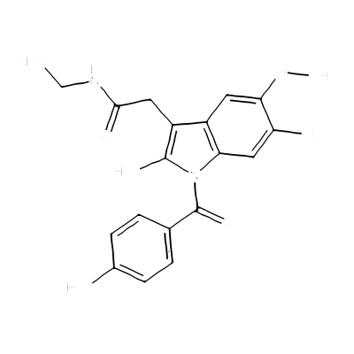 CCNC(=O)Cc1c(C)n(C(=S)c2ccc(C)cc2)c2cc(Cl)c(OC)cc12